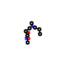 c1ccc(-c2cccc(-c3ccc(N(c4ccccc4)c4ccc(-c5cccc6c5oc5cc7oc(-c8ccccc8)nc7cc56)cc4)cc3)c2)cc1